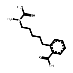 CN(CCCCCc1ccccc1C(=O)O)C(=N)N